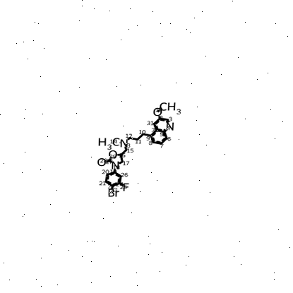 COc1cnc2cccc(CCCN(C)CC3CN(c4ccc(Br)c(F)c4)C(=O)O3)c2c1